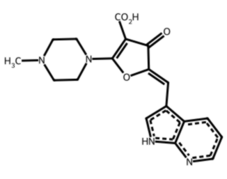 CN1CCN(C2=C(C(=O)O)C(=O)/C(=C/c3c[nH]c4ncccc34)O2)CC1